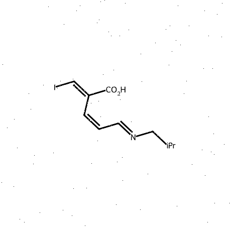 CC(C)C/N=C/C=C\C(=C/I)C(=O)O